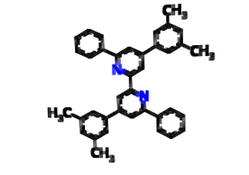 Cc1cc(C)cc(-c2cc(-c3ccccc3)nc(-c3cc(-c4cc(C)cc(C)c4)cc(-c4ccccc4)n3)c2)c1